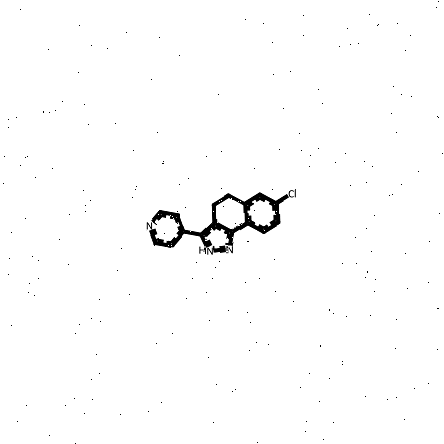 Clc1ccc2c(c1)CCc1c-2n[nH]c1-c1ccncc1